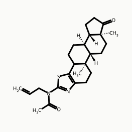 C=CCN(C(C)=O)c1nc2c(s1)C1CC[C@@H]3[C@H](CC[C@]4(C)C(=O)CC[C@@H]34)[C@@]1(C)CC2